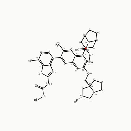 CC(C)(C)OC(=O)Nc1nc2c(-c3cc4nc(OC[C@@]56CCCN5C[C@H](F)C6)nc(N5CC6CCC(C5)N6C(=O)OC(C)(C)C)c4cc3C(F)(F)F)ccc(F)c2s1